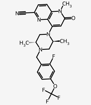 C[C@@H]1CN(c2cc(=O)n(C)c3ccc(C#N)nc23)[C@@H](C)CN1Cc1ccc(OC(F)(F)F)cc1F